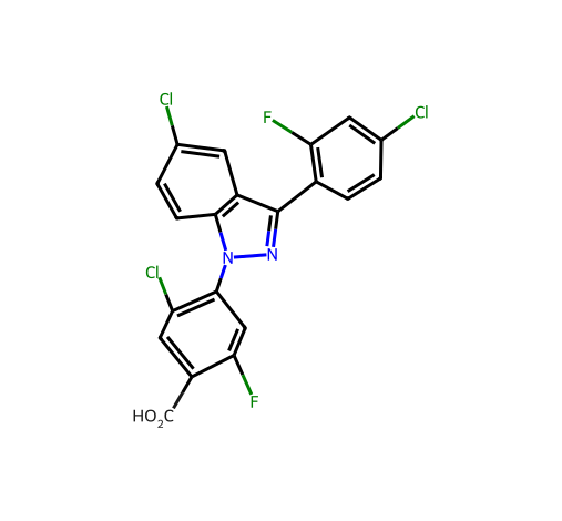 O=C(O)c1cc(Cl)c(-n2nc(-c3ccc(Cl)cc3F)c3cc(Cl)ccc32)cc1F